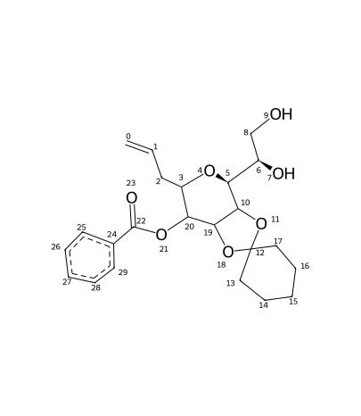 C=CCC1O[C@@H]([C@H](O)CO)C2OC3(CCCCC3)OC2C1OC(=O)c1ccccc1